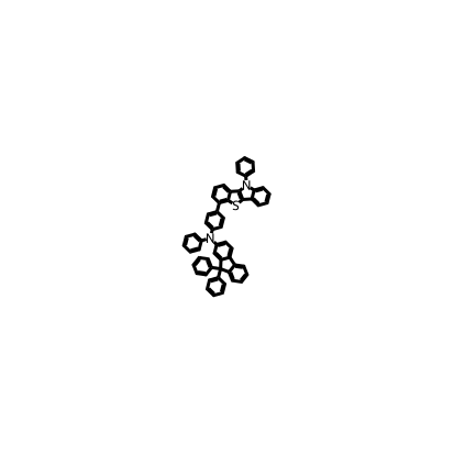 c1ccc(N(c2ccc(-c3cccc4c3sc3c5ccccc5n(-c5ccccc5)c43)cc2)c2ccc3c(c2)C(c2ccccc2)(c2ccccc2)c2ccccc2-3)cc1